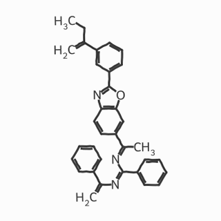 C=C(CC)c1cccc(-c2nc3ccc(/C(C)=N/C(=N\C(=C)c4ccccc4)c4ccccc4)cc3o2)c1